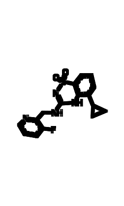 O=S1(=O)N=C(NCc2ncccc2F)Nc2c(C3CC3)cccc21